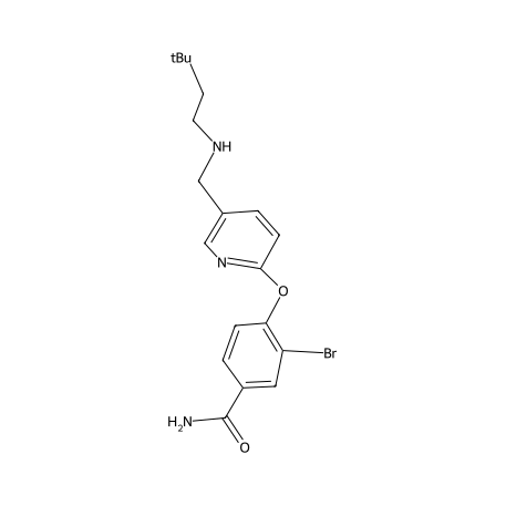 CC(C)(C)CCNCc1ccc(Oc2ccc(C(N)=O)cc2Br)nc1